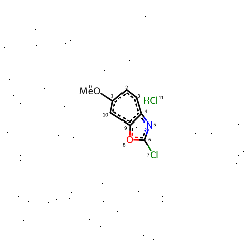 COc1ccc2nc(Cl)oc2c1.Cl